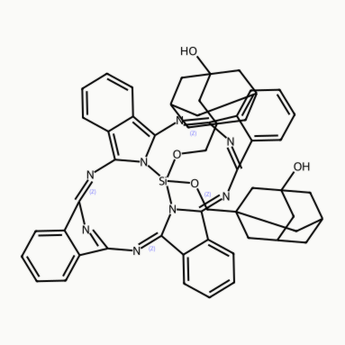 OC12CC3CC(C1)CC(CO[Si]1(OCC45CC6CC(CC(O)(C6)C4)C5)n4c5c6ccccc6c4/N=C4N=C(/N=c6/c7ccccc7/c(n61)=N/C1=NC(=N\5)/c5ccccc51)c1ccccc1\4)(C3)C2